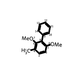 COc1c[c]c(C)c(OC)c1-c1ccccc1